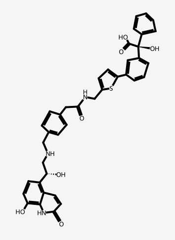 O=C(Cc1ccc(CNC[C@H](O)c2ccc(O)c3[nH]c(=O)ccc23)cc1)NCc1ccc(-c2cccc([C@](O)(C(=O)O)c3ccccc3)c2)s1